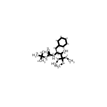 CSC(SC)(SC)C(O)[C@H](CC1CCCCC1)NC(=O)OC(C)(C)C